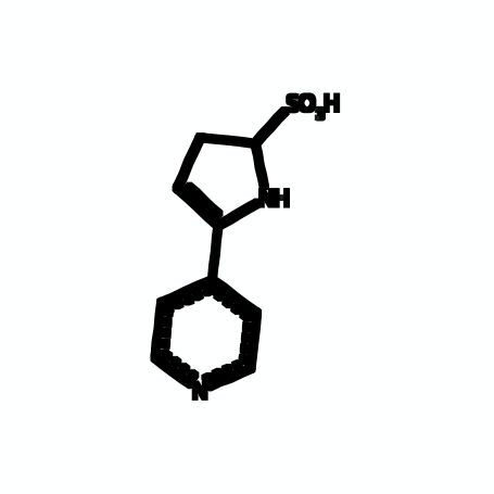 O=S(=O)(O)C1CC=C(c2ccncc2)N1